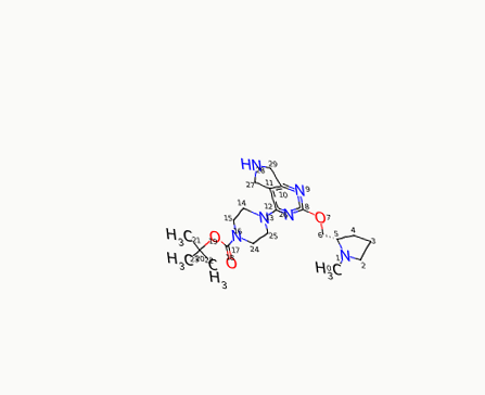 CN1CCC[C@H]1COc1nc2c(c(N3CCN(C(=O)OC(C)(C)C)CC3)n1)CNC2